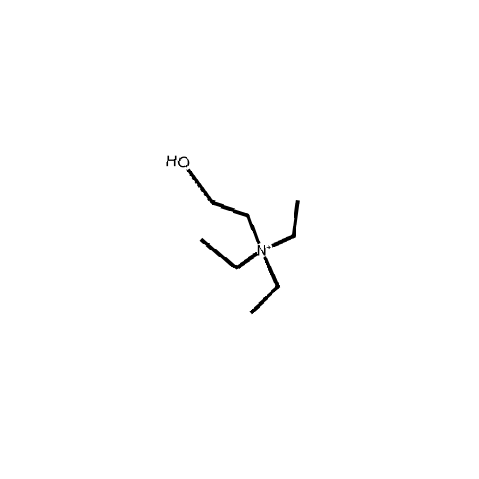 CC[N+](CC)(CC)CCO